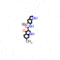 Cc1ccc2c(=O)c(C(=O)Nc3cc4[nH]ccc4cc3C(C)(C)C)c[nH]c2c1